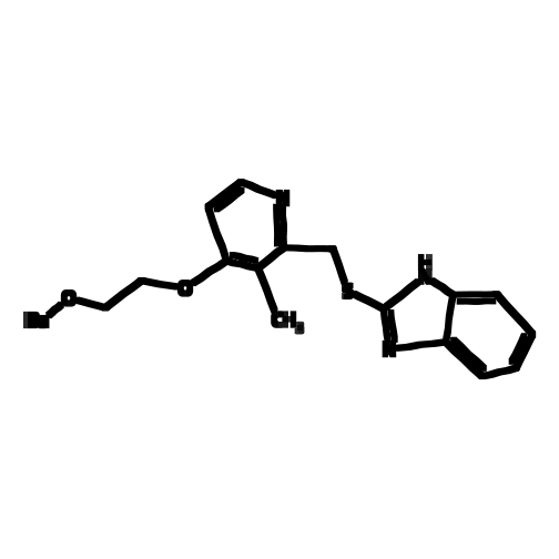 CCC(C)OCCOc1ccnc(CSc2nc3ccccc3[nH]2)c1C